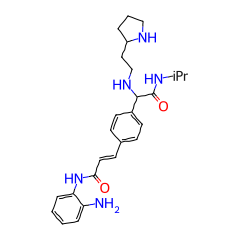 CC(C)NC(=O)C(NCCC1CCCN1)c1ccc(/C=C/C(=O)Nc2ccccc2N)cc1